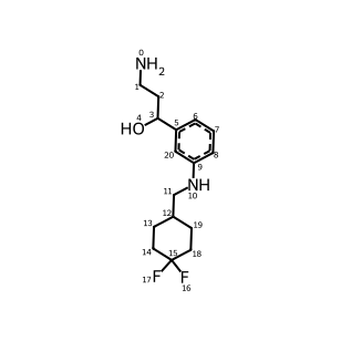 NCCC(O)c1cccc(NCC2CCC(F)(F)CC2)c1